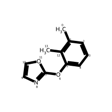 Cc1cccc(Oc2n[c]co2)c1C